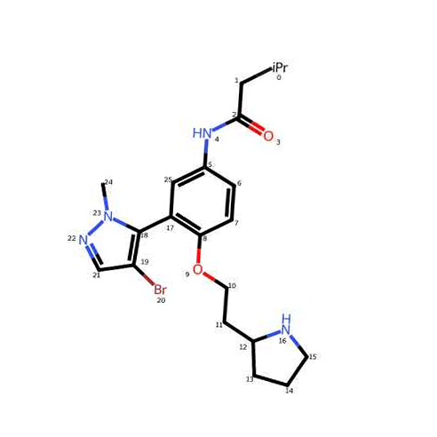 CC(C)CC(=O)Nc1ccc(OCCC2CCCN2)c(-c2c(Br)cnn2C)c1